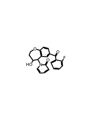 O=C(c1ccc2c(c1)C(n1ccccc1=O)C(O)CCO2)c1ccccc1F